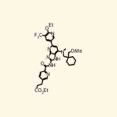 CCOC(=O)CCc1ccc(C(=O)Nc2nc3nc(-c4cnc(OCC)c(C(F)(F)F)c4)cc(N(C)CC4(COC)CCCCC4)c3[nH]2)nc1